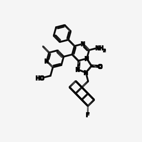 Cc1cc(-c2c(-c3ccccc3)nc(N)n3c(=O)n(CC45C6C7C4C4C5C6C74F)nc23)cc(CO)n1